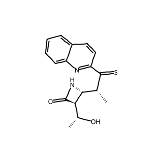 C[C@@H](O)[C@H]1C(=O)N[C@@H]1[C@@H](C)C(=S)c1ccc2ccccc2n1